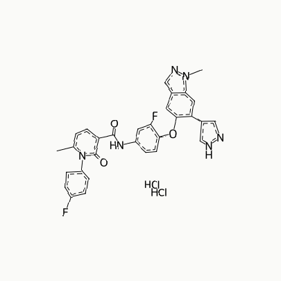 Cc1ccc(C(=O)Nc2ccc(Oc3cc4cnn(C)c4cc3-c3cn[nH]c3)c(F)c2)c(=O)n1-c1ccc(F)cc1.Cl.Cl